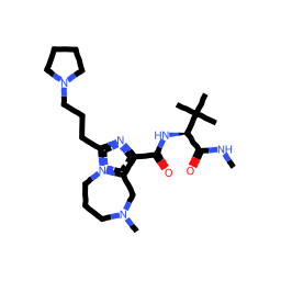 CNC(=O)[C@@H](NC(=O)c1nc(CCCN2CCCC2)n2c1CN(C)CCC2)C(C)(C)C